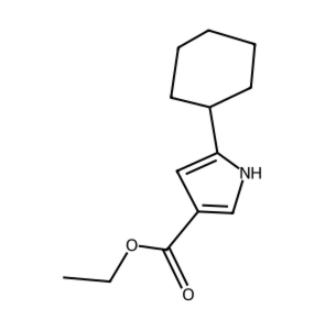 CCOC(=O)c1c[nH]c(C2CCCCC2)c1